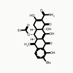 C=C1c2ccc(C(C)(C)C)c(O)c2C(=O)C2=C(O)[C@]3(O)C(=O)C(C(N)=O)=C(O)C[C@@H]3[C@@H](OC(=O)CC)[C@H]12